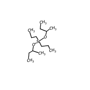 CCC[Si](CCC)(OC(C)CC)OC(C)CC